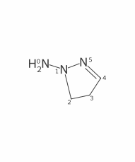 NN1CCC=N1